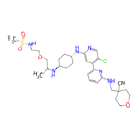 CC(COCCNS(=O)(=O)C(F)(F)F)N[C@H]1CC[C@H](Nc2cc(-c3cccc(NCC4(C#N)CCOCC4)n3)c(Cl)cn2)CC1